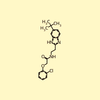 CC(C)(C)c1ccc2nc(CCNC(=O)COc3ccccc3Cl)[nH]c2c1